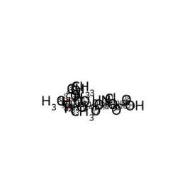 COC1(C)CC[C@@H]2C3[C@H](O[C@H](OC(=O)CCC(=O)OCC(COC(=O)CCC(=O)O)NCl)[C@H](C)[C@@H]3CC[C@H]2C)O1